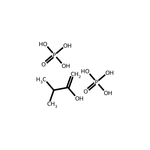 C=C(O)C(C)C.O=P(O)(O)O.O=P(O)(O)O